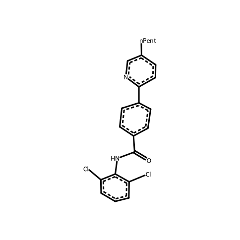 CCCCCc1ccc(-c2ccc(C(=O)Nc3c(Cl)cccc3Cl)cc2)nc1